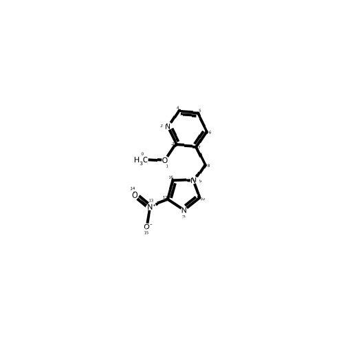 COc1ncccc1Cn1cnc([N+](=O)[O-])c1